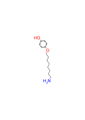 NCCCCCCCCOc1ccc(O)cc1